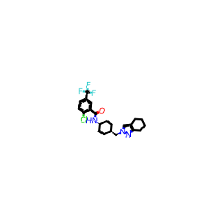 O=C(N[C@H]1CC[C@H](Cn2cc3c(n2)CCCC3)CC1)c1cc(C(F)(F)F)ccc1Cl